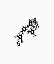 COc1ccc(CN(C(=O)OC(C)(C)C)c2nc(NS(C)(=O)=O)ncc2COc2ccc(C(C)Cc3cc(Cl)c(OCCCl)c(C#N)c3)cc2)c(OC)c1